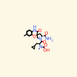 Cc1ccc2c(c1)OC1(C[C@@H](C(N)=O)N(C(=O)C(CC3CC3)N(C)C(=O)O)C1)C(=O)N2